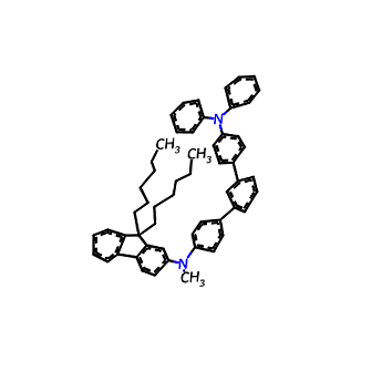 CCCCCCC1(CCCCCC)c2ccccc2-c2ccc(N(C)c3ccc(-c4cccc(-c5ccc(N(c6ccccc6)c6ccccc6)cc5)c4)cc3)cc21